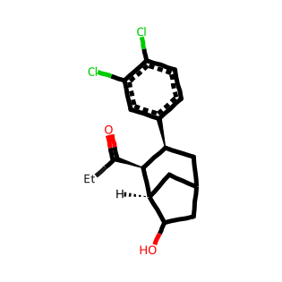 CCC(=O)[C@H]1[C@@H](c2ccc(Cl)c(Cl)c2)CC2CC(O)[C@@H]1C2